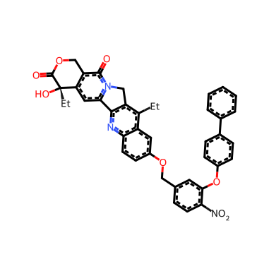 CCc1c2c(nc3ccc(OCc4ccc([N+](=O)[O-])c(Oc5ccc(-c6ccccc6)cc5)c4)cc13)-c1cc3c(c(=O)n1C2)COC(=O)[C@]3(O)CC